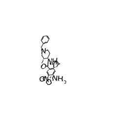 COc1cc(N)c([N+](=O)[O-])cc1C(=O)NC1CCN(Cc2ccccc2)CC1C